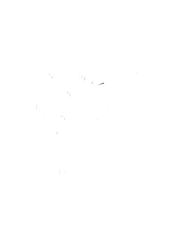 COC(=O)C1=C(CN2CC(F)(F)C[C@H]2CCC(=O)O)NC(c2nccs2)=N[C@H]1c1ccc(Cl)cc1Cl